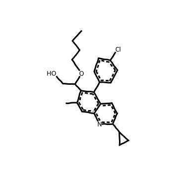 CCCCOC(CO)c1c(C)cc2nc(C3CC3)ccc2c1-c1ccc(Cl)cc1